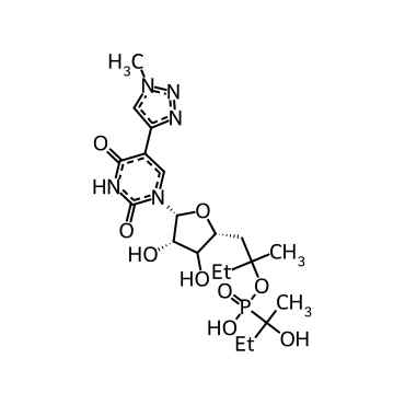 CCC(C)(C[C@H]1O[C@@H](n2cc(-c3cn(C)nn3)c(=O)[nH]c2=O)[C@@H](O)C1O)OP(=O)(O)C(C)(O)CC